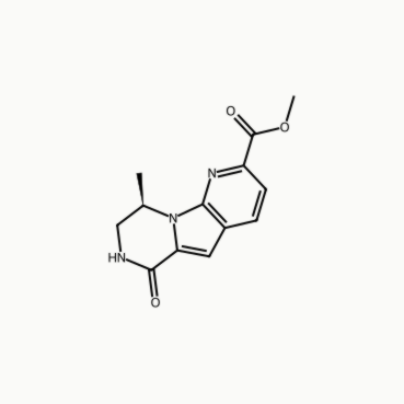 COC(=O)c1ccc2cc3n(c2n1)[C@H](C)CNC3=O